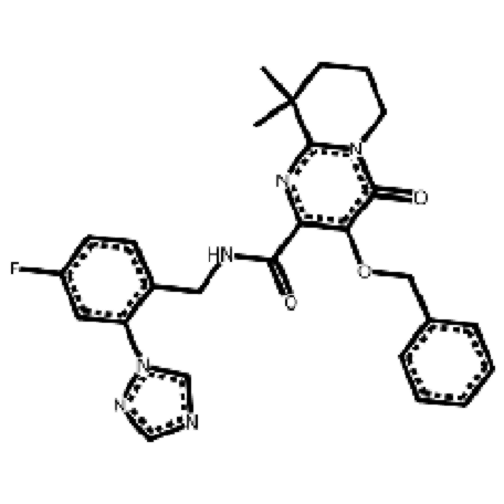 CC1(C)CCCn2c1nc(C(=O)NCc1ccc(F)cc1-n1cncn1)c(OCc1ccccc1)c2=O